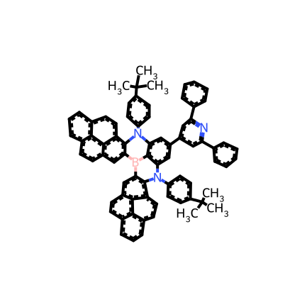 CC(C)(C)c1ccc(N2c3cc(-c4cc(-c5ccccc5)nc(-c5ccccc5)c4)cc4c3B(c3cc5ccc6cccc7ccc(c32)c5c67)c2cc3ccc5cccc6ccc(c2N4c2ccc(C(C)(C)C)cc2)c3c56)cc1